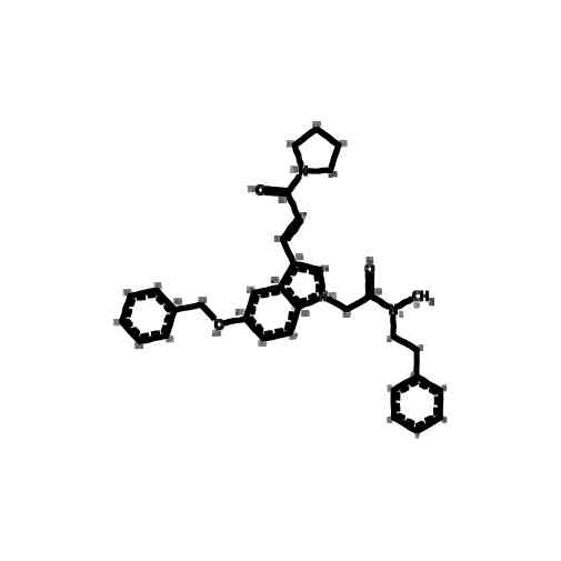 CN(CCc1ccccc1)C(=O)Cn1cc(C=CC(=O)N2CCCC2)c2cc(OCc3ccccc3)ccc21